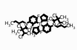 CCCCN(C(=O)C(C)(Cl)C(C)Cl)c1ccc(F)[c]([Ti]([C]2=CC=CC2)([C]2=CC=CC2)[c]2c(F)ccc(N(CCCC)C(=O)C(C)(Cl)C(C)Cl)c2F)c1F